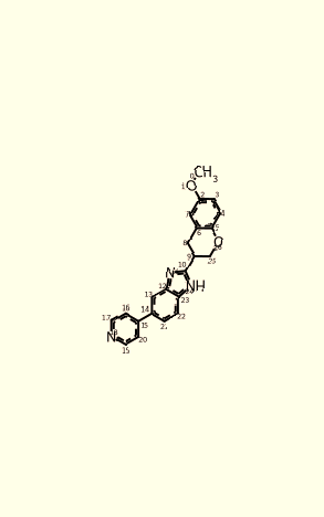 COc1ccc2c(c1)CC(c1nc3cc(-c4ccncc4)ccc3[nH]1)CO2